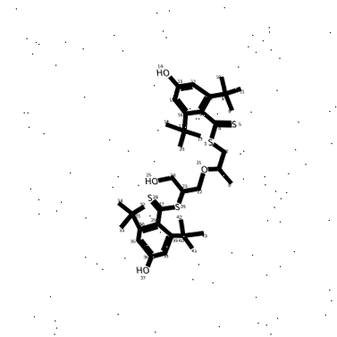 CC(CSC(=S)c1c(C(C)(C)C)cc(O)cc1C(C)(C)C)OCC(CO)SC(=S)c1c(C(C)(C)C)cc(O)cc1C(C)(C)C